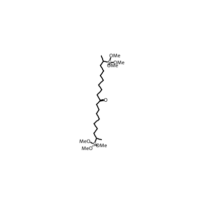 CO[Si](OC)(OC)C(C)CCCCCCCC(=O)CCCCCCCC(C)[Si](OC)(OC)OC